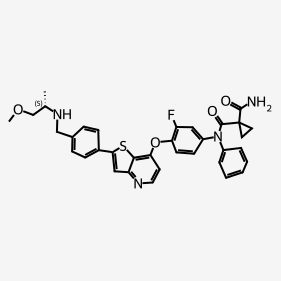 COC[C@H](C)NCc1ccc(-c2cc3nccc(Oc4ccc(N(C(=O)C5(C(N)=O)CC5)c5ccccc5)cc4F)c3s2)cc1